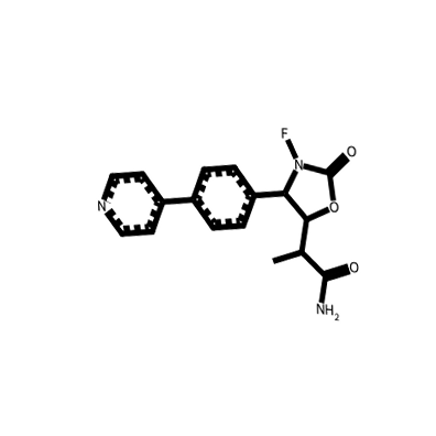 CC(C(N)=O)C1OC(=O)N(F)C1c1ccc(-c2ccncc2)cc1